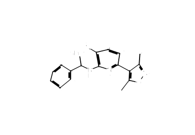 CCCC(Nc1nc(-c2c(C)noc2C)ccc1[N+](=O)[O-])c1ccccc1